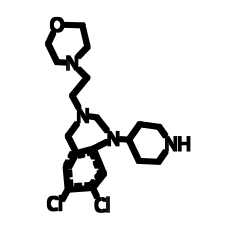 Clc1cc2c(cc1Cl)N(C1CCNCC1)CN(CCN1CCOCC1)C2